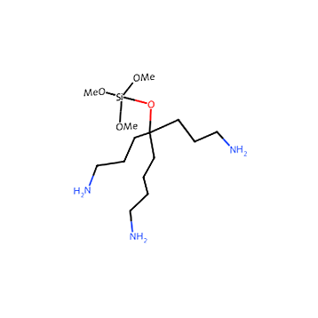 CO[Si](OC)(OC)OC(CCCN)(CCCN)CCCCN